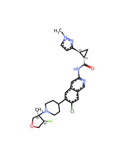 Cn1ccc([C@H]2C[C@@H]2C(=O)Nc2cc3cc(C4CCN([C@]5(C)COC[C@@H]5F)CC4)c(Cl)cc3cn2)n1